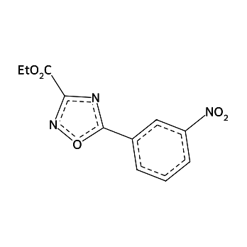 CCOC(=O)c1noc(-c2cccc([N+](=O)[O-])c2)n1